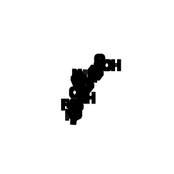 Cc1cn2cc(NC(=O)c3ccc(N4CCN(C(=O)O)CC4)c4nnccc34)cc(F)c2n1